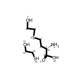 N[C@@H](CCSCCO)C(=O)O.OCCS